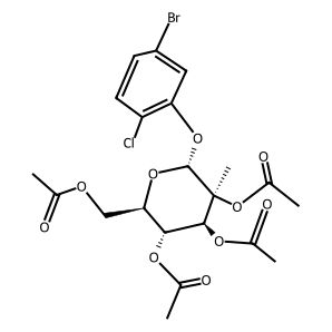 CC(=O)OC[C@H]1O[C@H](Oc2cc(Br)ccc2Cl)[C@@](C)(OC(C)=O)[C@@H](OC(C)=O)[C@@H]1OC(C)=O